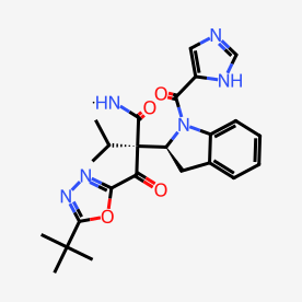 CC(C)[C@@](C([NH])=O)(C(=O)c1nnc(C(C)(C)C)o1)[C@@H]1Cc2ccccc2N1C(=O)c1cnc[nH]1